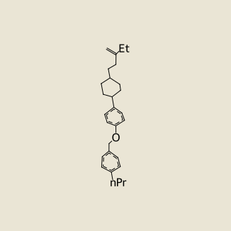 C=C(CC)CCC1CCC(c2ccc(OCc3ccc(CCC)cc3)cc2)CC1